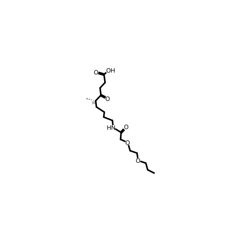 CCCOCCOCC(=O)NCCCC[C@H](C)C(=O)CCC(=O)O